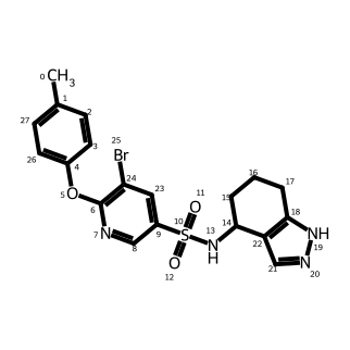 Cc1ccc(Oc2ncc(S(=O)(=O)NC3CCCc4[nH]ncc43)cc2Br)cc1